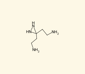 NCCC1(CCN)NN1